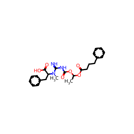 CC(OC(=O)CCCc1ccccc1)OC(=O)NC(=N)N(C)C(Cc1ccccc1)C(=O)O